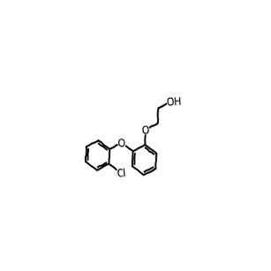 OCCOc1ccccc1Oc1ccccc1Cl